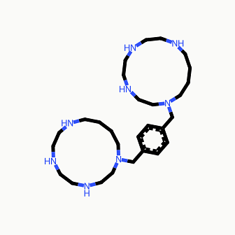 c1cc(CN2CCCCNCCNCCNCC2)ccc1CN1CCCCNCCNCCNCC1